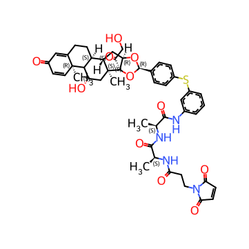 C[C@H](NC(=O)CCN1C(=O)C=CC1=O)C(=O)N[C@@H](C)C(=O)Nc1cccc(Sc2ccc([C@@H]3O[C@@H]4C[C@H]5[C@@H]6CCC7=CC(=O)C=C[C@]7(C)C6[C@@H](O)C[C@]5(C)[C@]4(C(=O)CO)O3)cc2)c1